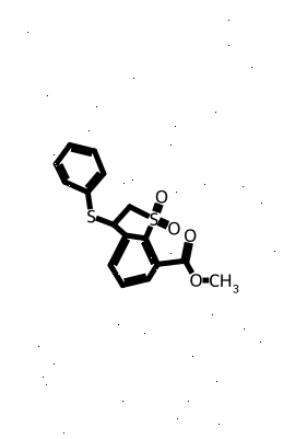 COC(=O)c1cccc2c1S(=O)(=O)CC2Sc1ccccc1